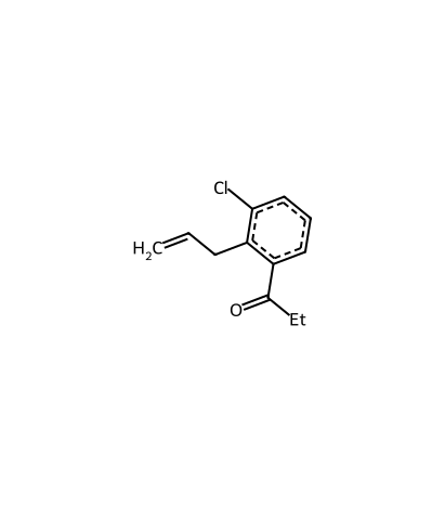 C=CCc1c(Cl)cccc1C(=O)CC